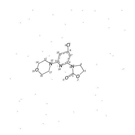 O=C1OCCN1c1cc(Cl)cc(N2CCOCC2)n1